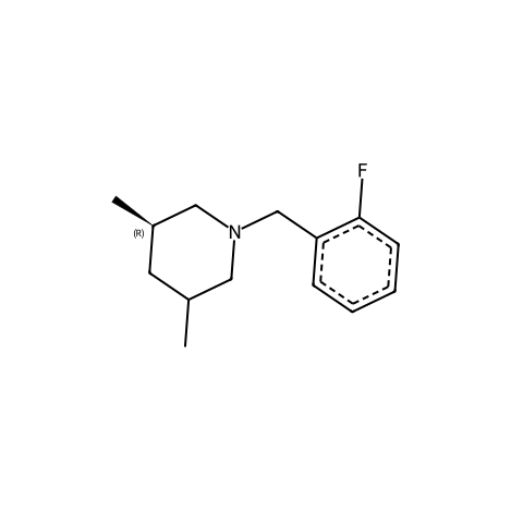 CC1C[C@@H](C)CN(Cc2ccccc2F)C1